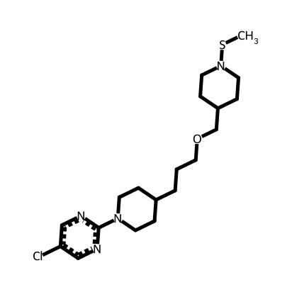 CSN1CCC(COCCCC2CCN(c3ncc(Cl)cn3)CC2)CC1